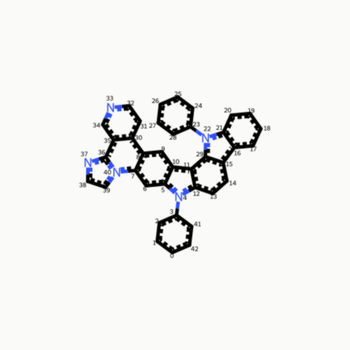 c1ccc(-n2c3cc4c(cc3c3c2ccc2c5ccccc5n(-c5ccccc5)c23)c2ccncc2c2nccn42)cc1